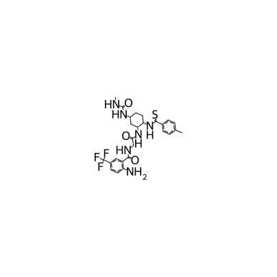 CNC(=O)NC1CCC(NC(=S)c2ccc(C)cc2)C(NC(=O)CNC(=O)c2cc(C(F)(F)F)ccc2N)C1